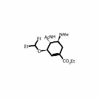 CCOC(=O)C1=C[C@@H](OC(CC)CC)[C@H](NC(C)=O)[C@@H](NC)C1